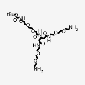 CC(C)(C)OC(=O)NOCCOCCOCC(=O)NC(CC(=O)NCCOCCOCCN)CC(=O)NCCOCCOCCN